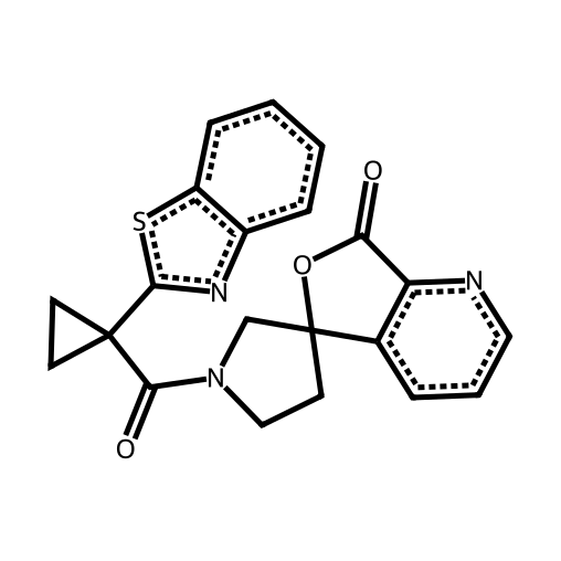 O=C1OC2(CCN(C(=O)C3(c4nc5ccccc5s4)CC3)C2)c2cccnc21